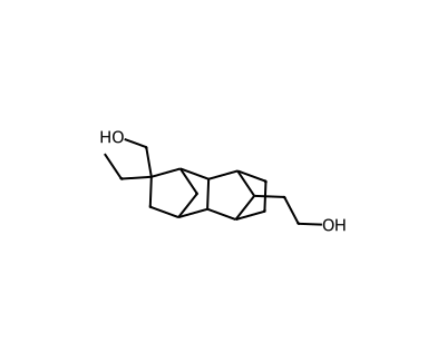 CCC1(CO)CC2CC1C1C3CCC(C3CCO)C21